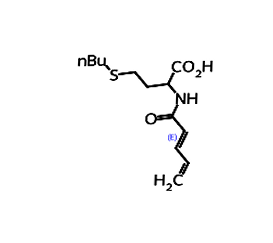 C=C/C=C/C(=O)NC(CCSCCCC)C(=O)O